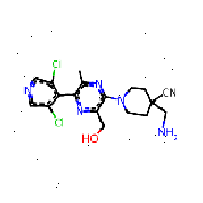 Cc1nc(N2CCC(C#N)(CN)CC2)c(CO)nc1-c1c(Cl)cncc1Cl